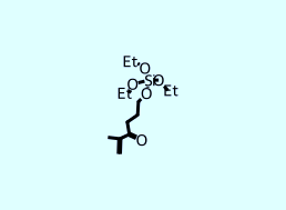 C=C(C)C(=O)CCCO[Si](OCC)(OCC)OCC